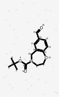 CC(C)(C)OC(=O)N1CCOc2ccc(C=O)cc2C1